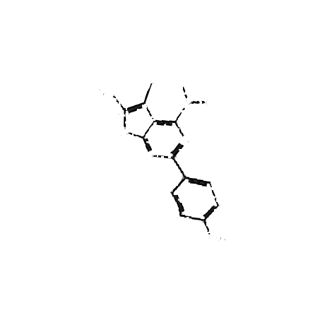 CCN(CC)c1nc(-c2ccc(OC)cc2)nc2sc(C#N)c(C)c12